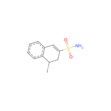 NS(=O)(=O)C1=Cc2ccccc2C(I)C1